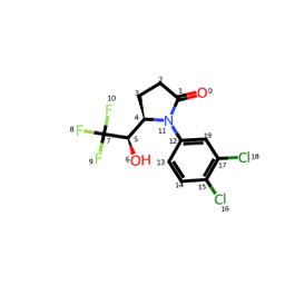 O=C1CC[C@H]([C@@H](O)C(F)(F)F)N1c1ccc(Cl)c(Cl)c1